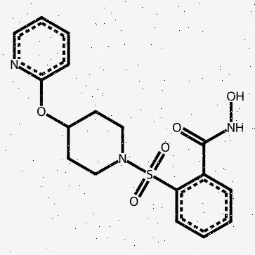 O=C(NO)c1ccccc1S(=O)(=O)N1CCC(Oc2ccccn2)CC1